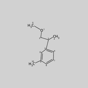 COCC(C)c1cccc(C)c1